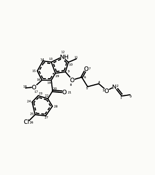 CC=NOCCC(=O)Oc1c(C)[nH]c2ccc(OC)c(C(=O)c3ccc(Cl)cc3)c12